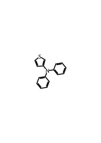 c1ccc(N(c2ccccc2)c2ccsc2)cc1